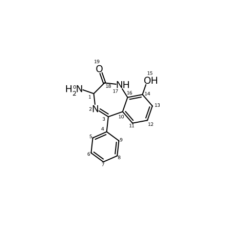 NC1N=C(c2ccccc2)c2cccc(O)c2NC1=O